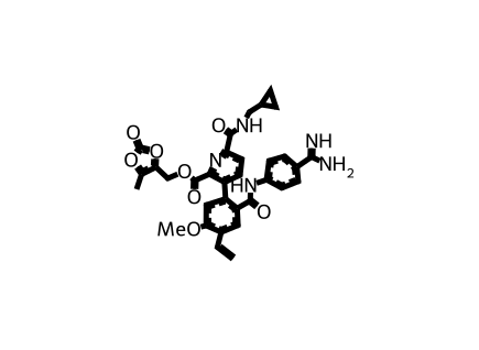 C=Cc1cc(C(=O)Nc2ccc(C(=N)N)cc2)c(-c2ccc(C(=O)NCC3CC3)nc2C(=O)OCc2oc(=O)oc2C)cc1OC